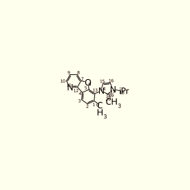 Cc1ccc2c(oc3cccnc32)c1N1C=CN(C(C)C)[C@@H]1C